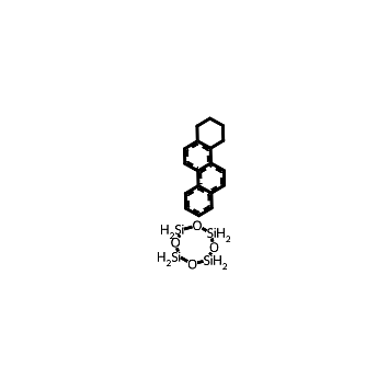 O1[SiH2]O[SiH2]O[SiH2]O[SiH2]1.c1ccc2c(c1)ccc1c3c(ccc12)CCCC3